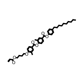 C=CC(=O)OCCCCOc1ccc(C(=O)Oc2ccc(C(=O)Oc3ccc(CCCCCCCCCC)cc3)cc2C)cc1C